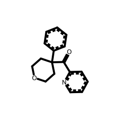 O=C(c1ccccn1)C1(c2ccccc2)CCOCC1